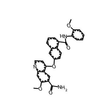 COc1ccccc1NC(=O)c1cccc2cc(Oc3ccnc4cc(OC)c(C(N)=O)cc34)ccc12